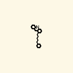 c1ccc(CCCCCc2cccc3nc4ccccc4cc23)cc1